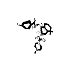 C[C@H]1[C@H](NC(=O)N2CCN(C)CC2)CC2C(C)(C)CCC[C@]2(C)[C@H]1CNC(=O)c1ccc(F)cc1